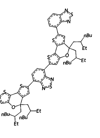 CCCCC(CC)CC1(CC(CC)CCCC)Oc2cc(-c3ccc(-c4cc5c(s4)-c4sccc4OC5(CC(CC)CCCC)CC(CC)CCCC)c4nsnc34)sc2-c2sc(-c3cccc4nsnc34)cc21